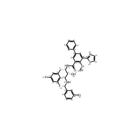 CCCOc1c(C(=O)N[C@@H](Cc2cc(F)cc(F)c2)[C@H](O)CNCc2cccc(CC)c2)cc(-c2ccccc2)cc1-c1nccs1